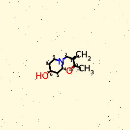 C=C(CN1CCC(O)CC1)C(C)=O